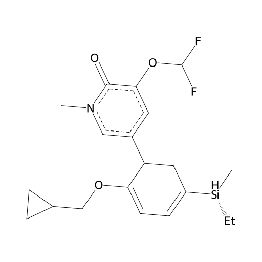 CC[Si@@H](C)C1=CC=C(OCC2CC2)C(c2cc(OC(F)F)c(=O)n(C)c2)C1